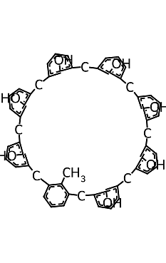 Cc1c2cccc1Cc1cccc(c1O)Cc1cccc(c1O)Cc1cccc(c1O)Cc1cccc(c1O)Cc1cccc(c1O)Cc1cccc(c1O)Cc1cccc(c1O)C2